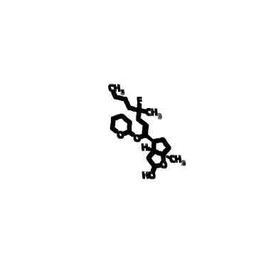 CCCCC(C)(F)CC=C(OC1CCCCO1)[C@H]1CC[C@@]2(C)OC(O)C[C@H]12